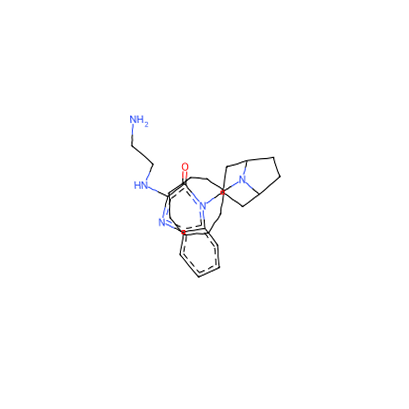 NCCNc1nc2ccccc2n(C2CC3CCC(C2)N3C2CCCCCCC2)c1=O